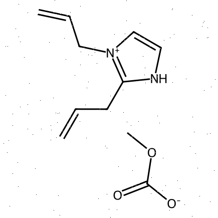 C=CCc1[nH]cc[n+]1CC=C.COC(=O)[O-]